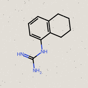 N=C(N)Nc1cccc2c1CCCC2